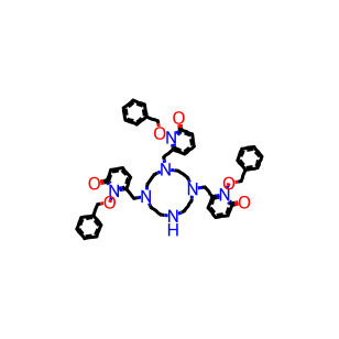 O=c1cccc(CN2CCNCCN(Cc3cccc(=O)n3OCc3ccccc3)CCN(Cc3cccc(=O)n3OCc3ccccc3)CC2)n1OCc1ccccc1